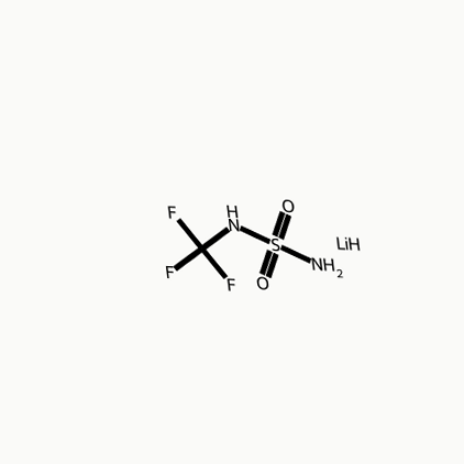 NS(=O)(=O)NC(F)(F)F.[LiH]